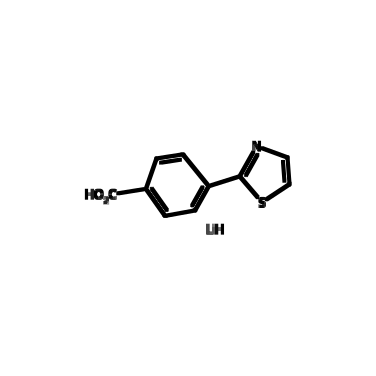 O=C(O)c1ccc(-c2nccs2)cc1.[LiH]